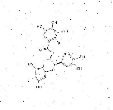 O=C(O[C@@H]1Cc2c(O)cc(O)cc2O[C@@H]1c1ccc(O)c(O)c1)c1cc(O)c(O)c(O)c1F